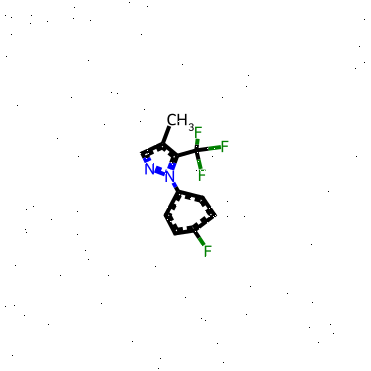 Cc1cnn(-c2ccc(F)cc2)c1C(F)(F)F